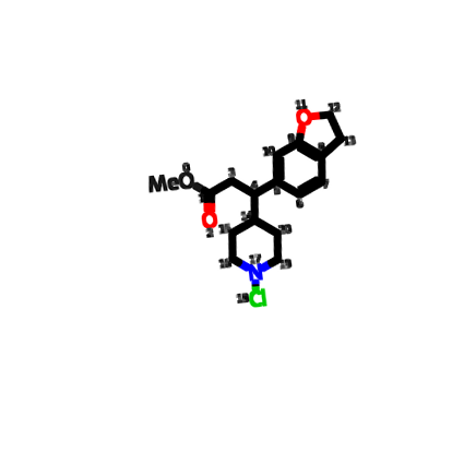 COC(=O)CC(c1ccc2c(c1)OCC2)C1CCN(Cl)CC1